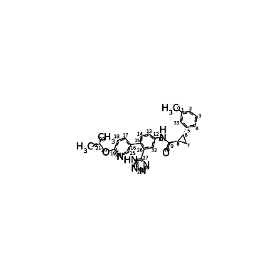 Cc1cccc([C@@H]2C[C@H]2C(=O)Nc2ccc(-c3ccc(OC(C)C)nc3)c(-c3nnn[nH]3)c2)c1